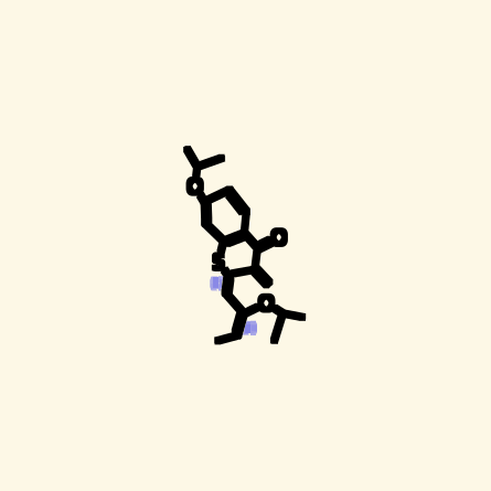 C=c1c(=O)c2ccc(OC(C)C)cc2s/c1=C/C(=C\C)OC(C)C